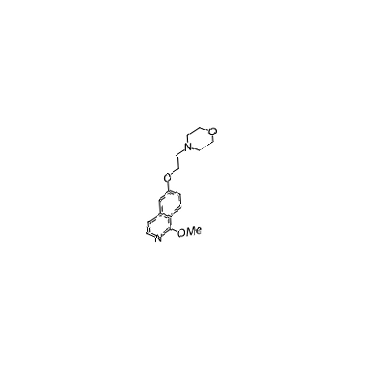 COc1nccc2cc(OCCN3CCOCC3)ccc12